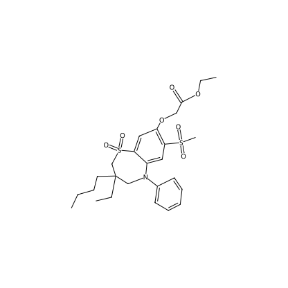 CCCCC1(CC)CN(c2ccccc2)c2cc(S(C)(=O)=O)c(OCC(=O)OCC)cc2S(=O)(=O)C1